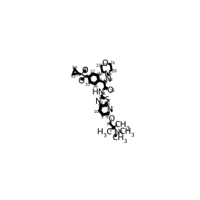 CN(C)C(C)(C)COc1ccc2nc(NC(=O)/C(=N/N3CCOCC3)c3ccc(S(=O)(=O)C4CC4)cc3)sc2n1